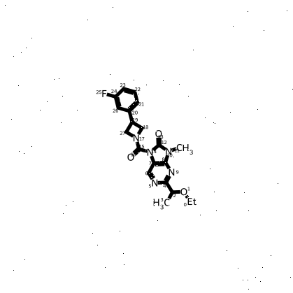 CCOC(C)c1ncc2c(n1)n(C)c(=O)n2C(=O)N1CC(c2cccc(F)c2)C1